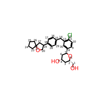 OC[C@@H]1C[C@H](O)C[C@@H](c2ccc(Cl)c(Cc3ccc(C4COC5(CCCC5)C4)cc3)c2)O1